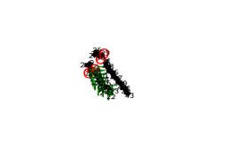 C=C(C)C(=O)OC(F)(F)C(F)(F)C(F)(F)C(F)(F)C(F)CC(F)(F)F.C=C(C)C(=O)OCCCCCCCCCCCCC